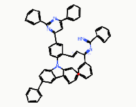 N=C(/N=C(\C=C\c1cc(-c2cc(-c3ccccc3)nc(-c3ccccc3)n2)ccc1-n1c2ccccc2c2cc(-c3ccccc3)ccc21)c1ccccc1)c1ccccc1